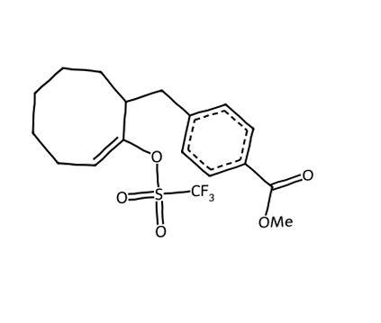 COC(=O)c1ccc(CC2CCCCCC=C2OS(=O)(=O)C(F)(F)F)cc1